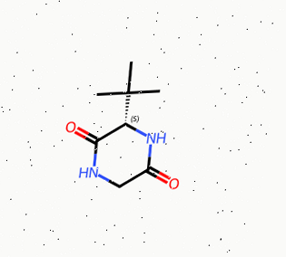 CC(C)(C)[C@@H]1NC(=O)CNC1=O